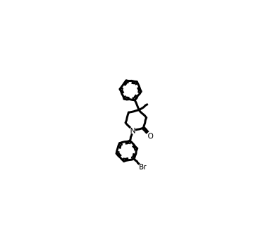 CC1(c2ccccc2)CCN(c2cccc(Br)c2)C(=O)C1